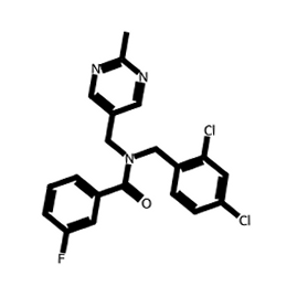 Cc1ncc(CN(Cc2ccc(Cl)cc2Cl)C(=O)c2cccc(F)c2)cn1